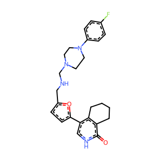 O=c1[nH]cc(-c2ccc(CNCN3CCN(c4ccc(F)cc4)CC3)o2)c2c1CCCC2